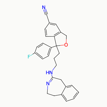 N#Cc1ccc2c(c1)COC2(CCCNC1=NCCc2ccccc2C1)c1ccc(F)cc1